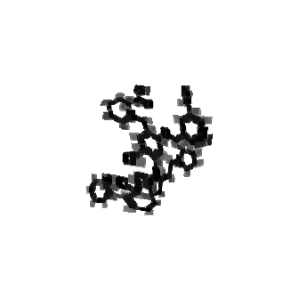 CC1(C)C(c2ccccc2)=CC=CC1(CCCCN1CC[C@@H](O)C1)COc1cc(OCc2cncc(C#N)c2)c(CN2CCCC[C@H]2C(=O)O)cc1Cl